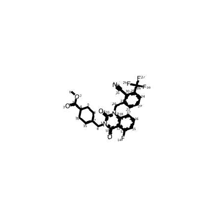 COC(=O)C1CCC(Cn2c(=O)c3c(F)cccc3n(Cc3cccc(C(F)(F)F)c3C#N)c2=O)CC1